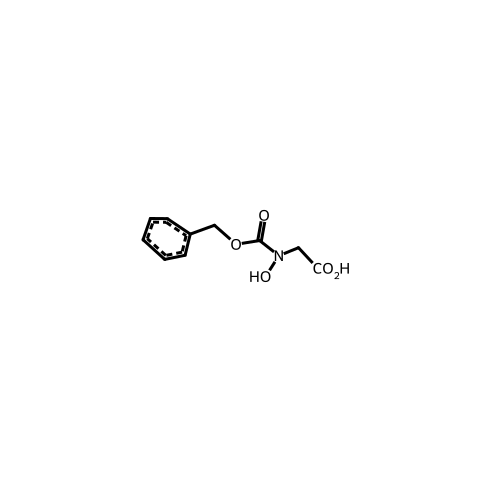 O=C(O)CN(O)C(=O)OCc1ccccc1